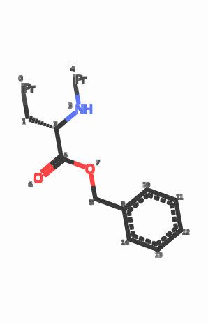 CC(C)C[C@H](NC(C)C)C(=O)OCc1ccccc1